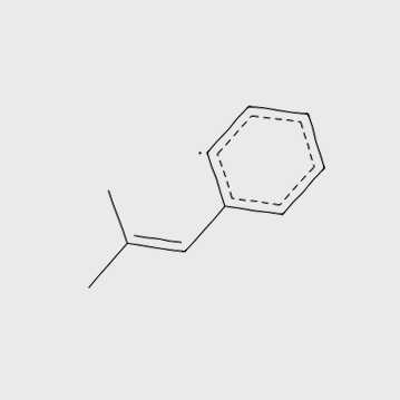 CC(C)=Cc1[c]cccc1